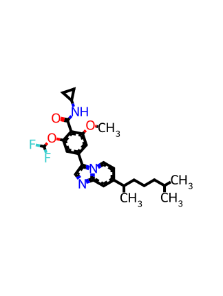 COc1cc(-c2cnc3cc(C(C)CCCC(C)C)ccn23)cc(OC(F)F)c1C(=O)NC1CC1